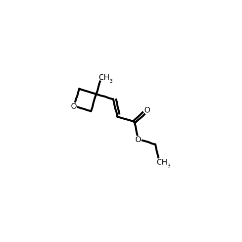 CCOC(=O)C=CC1(C)COC1